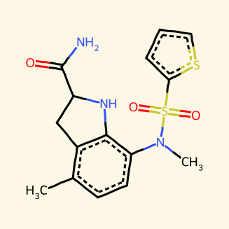 Cc1ccc(N(C)S(=O)(=O)c2cccs2)c2c1CC(C(N)=O)N2